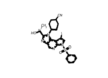 C[C@@H](O)c1nc2cnc3c(c(I)cn3S(=O)(=O)c3ccccc3)c2n1C1CCC(C#N)CC1